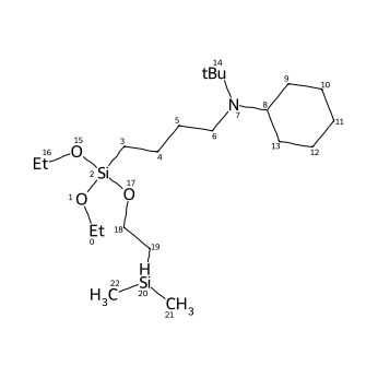 CCO[Si](CCCCN(C1CCCCC1)C(C)(C)C)(OCC)OCC[SiH](C)C